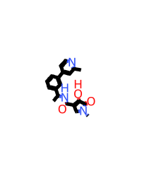 Cc1cc(-c2cccc(C(C)NC(=O)C3=C(O)C(=O)N(C)C3)c2)ccn1